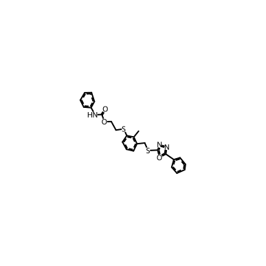 Cc1c(CSc2nnc(-c3ccccc3)o2)cccc1SCCOC(=O)Nc1ccccc1